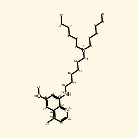 CCCCCCN(CCCCCC)CCCCCCNc1cc(OC)cc2c(C)ccnc12